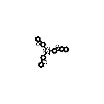 c1ccc2cc3c(cc2c1)oc1cc(-c2nc(-c4ccc5c(c4)oc4ccccc45)nc(-c4ccc5c(c4)oc4ccccc45)n2)ccc13